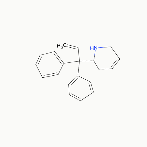 C=CC(c1ccccc1)(c1ccccc1)C1CC=CCN1